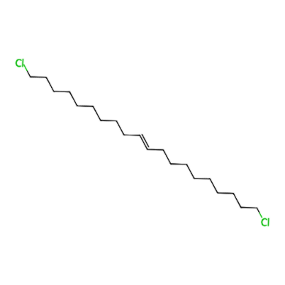 ClCCCCCCCCCC=CCCCCCCCCCCl